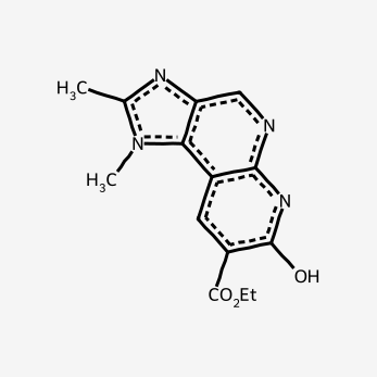 CCOC(=O)c1cc2c(ncc3nc(C)n(C)c32)nc1O